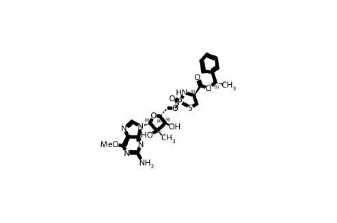 COc1nc(N)nc2c1ncn2[C@@H]1O[C@H](CO[P@@]2(=O)N[C@@H](C(=O)O[C@@H](C)c3ccccc3)CS2)[C@@H](O)[C@@]1(C)O